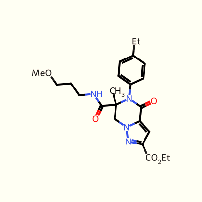 CCOC(=O)c1cc2n(n1)CC(C)(C(=O)NCCCOC)N(c1ccc(CC)cc1)C2=O